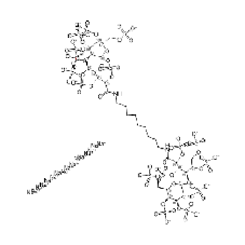 O=C(NCCCCCCCCCNC(=O)[C@H](OS(=O)(=O)[O-])[C@@H](OS(=O)(=O)[O-])[C@H](O[C@@H]1O[C@H](COS(=O)(=O)[O-])[C@H](OS(=O)(=O)[O-])[C@H](OS(=O)(=O)[O-])[C@H]1OS(=O)(=O)[O-])[C@@H](COS(=O)(=O)[O-])OS(=O)(=O)[O-])[C@@H](OS(=O)(=O)[O-])[C@H](OS(=O)(=O)[O-])[C@@H](O[C@H]1O[C@@H](COS(=O)(=O)[O-])[C@@H](OS(=O)(=O)[O-])[C@@H](OS(=O)(=O)[O-])[C@@H]1OS(=O)(=O)[O-])[C@H](COS(=O)(=O)[O-])OS(=O)(=O)[O-].[Na+].[Na+].[Na+].[Na+].[Na+].[Na+].[Na+].[Na+].[Na+].[Na+].[Na+].[Na+].[Na+].[Na+].[Na+].[Na+]